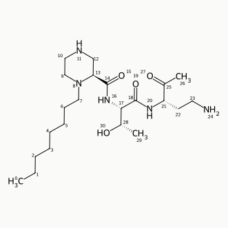 CCCCCCCCN1CCNC[C@H]1C(=O)N[C@H](C(=O)N[C@@H](CCN)C(C)=O)[C@H](C)O